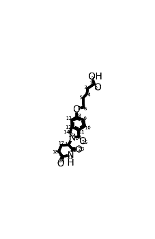 O=C(O)CCCCOc1ccc2c(c1)CN(C1CCC(=O)NC1=O)C2=O